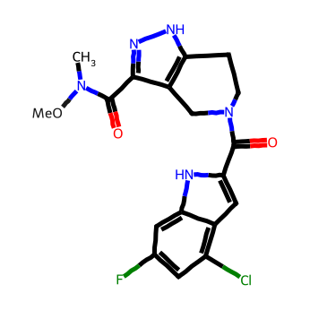 CON(C)C(=O)c1n[nH]c2c1CN(C(=O)c1cc3c(Cl)cc(F)cc3[nH]1)CC2